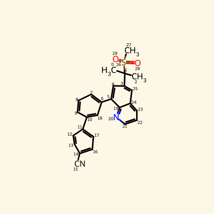 CC(C)(c1cc(-c2cccc(-c3ccc(C#N)cc3)c2)c2ncccc2c1)S(C)(=O)=O